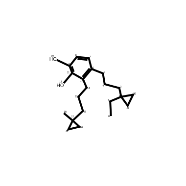 CCC1(CCCc2ccc(O)c(O)c2CCCC2(C)CC2)CC1